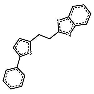 c1ccc(-c2ccc(CCc3nc4ccccc4s3)s2)cc1